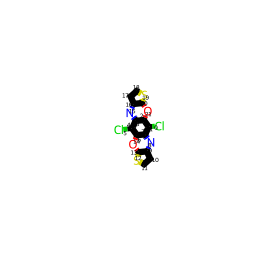 Clc1c2c(c(Cl)c3c1=Nc1ccsc1O3)=Nc1ccsc1O2